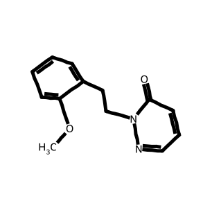 COc1ccccc1CCn1ncccc1=O